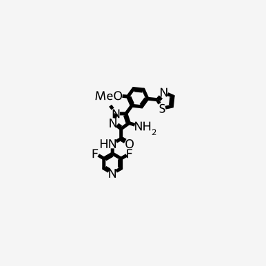 COc1ccc(-c2nccs2)cc1-c1c(N)c(C(=O)Nc2c(F)cncc2F)nn1C